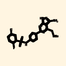 COCc1nc(-c2ccc(NS(=O)(=O)c3cc(Cl)ccc3F)cc2)nc2[nH]nc(N)c12